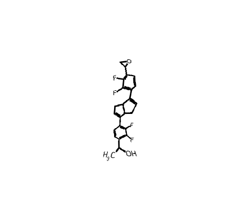 CC(O)c1ccc(C2=CCC3C(c4ccc(C5CO5)c(F)c4F)=CCC23)c(F)c1F